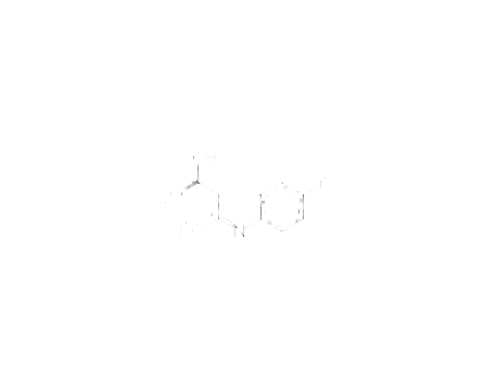 CC(=O)CC(C)=Nc1ccc(Cl)cc1